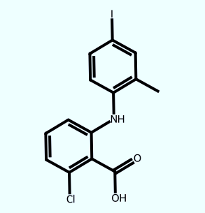 Cc1cc(I)ccc1Nc1cccc(Cl)c1C(=O)O